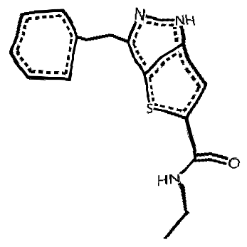 CCNC(=O)c1cc2[nH]nc(-c3ccccc3)c2s1